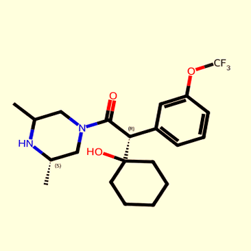 CC1CN(C(=O)[C@H](c2cccc(OC(F)(F)F)c2)C2(O)CCCCC2)C[C@H](C)N1